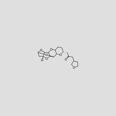 O=C(CC1CCOC1)C[C@H]1CCC2OC3C4O[C@@H]5CC(OC4C2O1)OC35